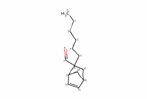 CCCCCCC1(C=O)CC2C=CC1C2